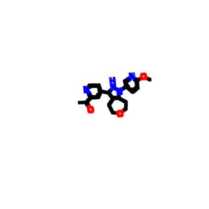 COc1ccc(N2NC(c3ccnc(C(C)=O)c3)C3=C2CCOCC3)cn1